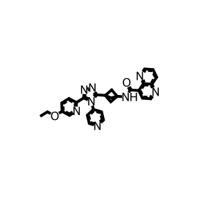 CCOc1ccc(-c2nnc(C34CC(NC(=O)c5ccnc6cccnc56)(C3)C4)n2-c2ccncc2)nc1